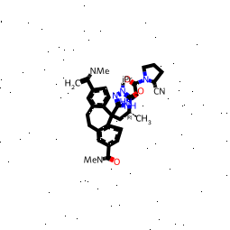 C=C(NC)c1ccc2c(c1)CCc1cc(C(=O)NC)ccc1C2(C[C@@H](C)NCC(=O)N1CCCC1C#N)c1nn(C(C)C)c(=O)[nH]1